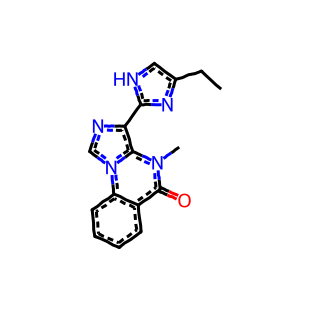 CCc1c[nH]c(-c2ncn3c4ccccc4c(=O)n(C)c23)n1